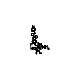 CCCC(CC)N(O)c1nc(N)nc(C)c1Cc1ccc(CC(=O)OCC2CCN(C)CC2)cc1F